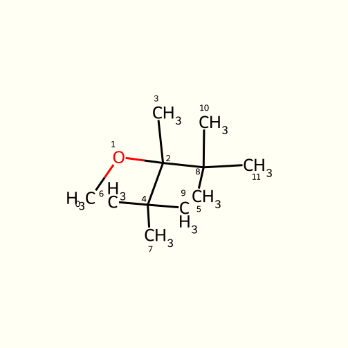 COC(C)(C(C)(C)C)C(C)(C)C